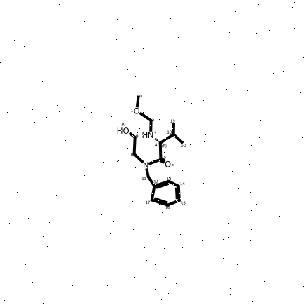 COCN[C@@H](C(=O)N(CCO)Cc1ccccc1)C(C)C